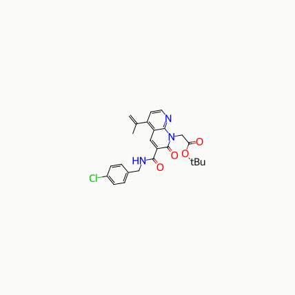 C=C(C)c1ccnc2c1cc(C(=O)NCc1ccc(Cl)cc1)c(=O)n2CC(=O)OC(C)(C)C